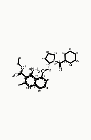 CCOC(=O)c1c(C)nc2cccc(OC[C@@H]3CCCN3C(=O)C3CCCCC3)c2c1N